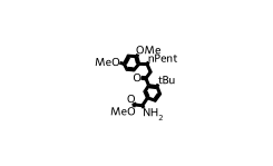 CCCCCC(CC(=O)c1cc(C(N)C(=O)OC)ccc1C(C)(C)C)c1ccc(OC)cc1OC